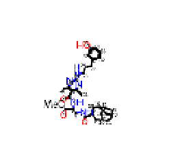 COC(=O)[C@H](CNC(=O)C1CC2CC3CC(C2)C(C3)C1)NC(=O)c1c(C)nc(NCCCc2cccc(O)c2)nc1C